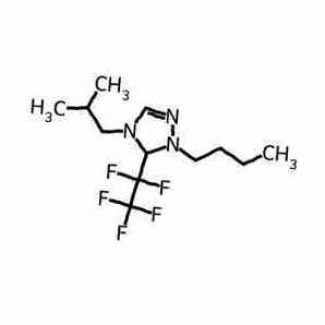 CCCCN1N=CN(CC(C)C)C1C(F)(F)C(F)(F)F